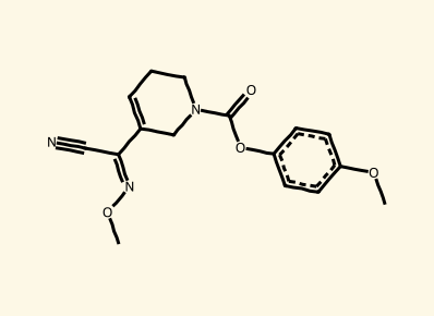 CON=C(C#N)C1=CCCN(C(=O)Oc2ccc(OC)cc2)C1